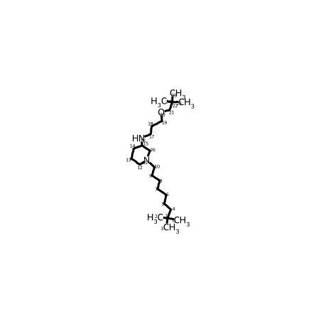 CC(C)(C)CCCCCCCN1CCCC(NCCCOCC(C)(C)C)C1